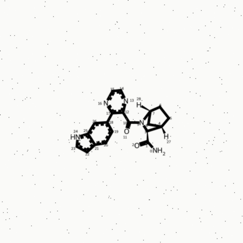 NC(=O)[C@@H]1[C@H]2CC[C@H](C2)N1C(=O)c1nccnc1-c1ccc2cc[nH]c2c1